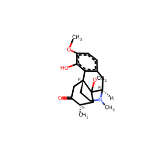 COc1ccc2c(c1O)[C@]13CCN(C)[C@H](C2)C1(OC)C[C@H](C)C(=O)C3